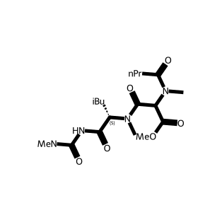 CCCC(=O)N(C)C(C(=O)OC)C(=O)N(C)[C@H](C(=O)NC(=O)NC)C(C)CC